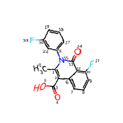 Cc1c(C(=O)O)c2cccc(F)c2c(=O)n1-c1cccc(F)c1